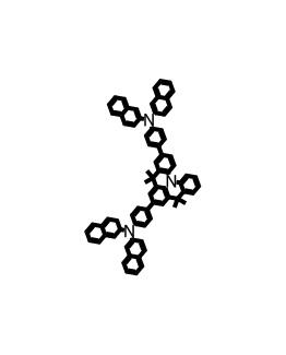 CC1(C)c2ccccc2N2c3ccc(-c4ccc(N(c5ccc6ccccc6c5)c5ccc6ccccc6c5)cc4)cc3C(C)(C)c3cc(-c4ccc(N(c5ccc6ccccc6c5)C5C=c6ccccc6=CC5)cc4)cc1c32